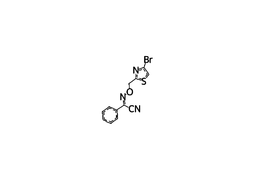 N#C/C(=N\OCc1nc(Br)cs1)c1ccccc1